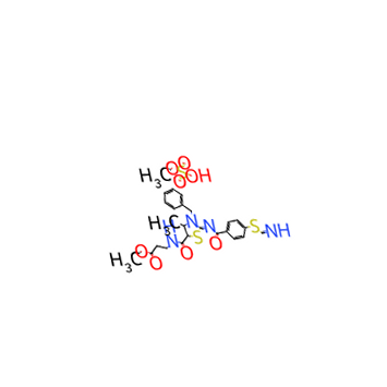 COC(=O)CCNC(=O)C1SC(=NC(=O)c2ccc(SC=N)cc2)N(Cc2ccccc2)C1C.COS(=O)(=O)O